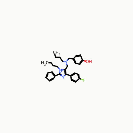 CCCCN(Cc1ccc(O)cc1)Cc1c(-c2ccc(F)cc2)nc(-c2ccccc2)n1CCCC